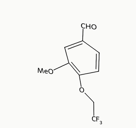 COc1cc(C=O)ccc1OCC(F)(F)F